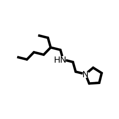 CCCCC(CC)CNCCN1CCCC1